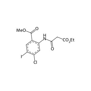 CCOC(=O)CC(=O)Nc1cc(Cl)c(I)cc1C(=O)OC